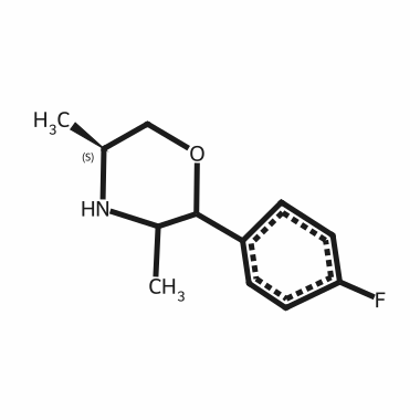 CC1N[C@@H](C)COC1c1ccc(F)cc1